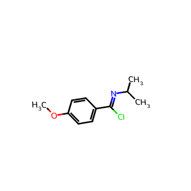 COc1ccc(/C(Cl)=N/C(C)C)cc1